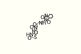 Cn1c(=O)n(CCNCC2CN(c3ccc4c(n3)NC(=O)CS4)C(=O)O2)c(=O)c2ccccc21